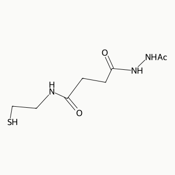 CC(=O)NNC(=O)CCC(=O)NCCS